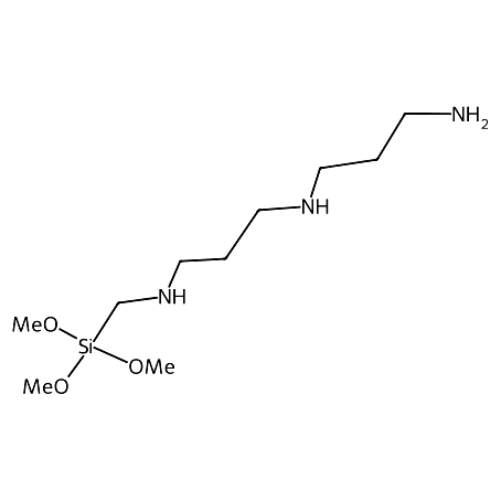 CO[Si](CNCCCNCCCN)(OC)OC